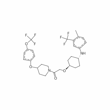 Cc1ccc(N[C@H]2CC[C@H](OCC(=O)N3CCC(Oc4ccc(OC(F)(F)F)cc4)CC3)CC2)cc1C(F)(F)F